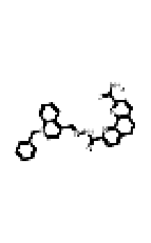 NC(=O)c1ccc2c(n1)-c1nc(C(=O)N/N=C/C3=C4C=CC=CC4N(Cc4ccccc4)C=C3)ccc1CC2